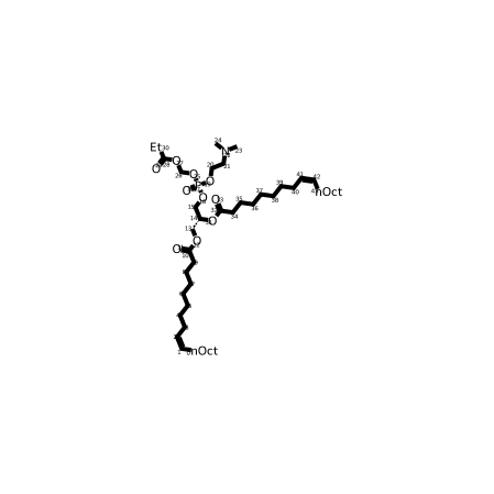 CCCCCCCC/C=C\CCCCCCCC(=O)OC[C@H](COP(=O)(OCCN(C)C)OCOC(=O)CC)OC(=O)CCCCCCC/C=C\CCCCCCCC